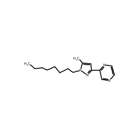 CCCCCCCCn1nc(-c2cnccn2)cc1C